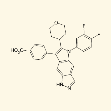 O=C(O)c1ccc(-c2c(C3CCOCC3)n(-c3ccc(F)c(F)c3)c3cc4cn[nH]c4cc23)cc1